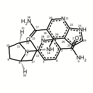 NC(=O)c1ccc(N2[C@@H]3CC[C@H]2C[C@H](Nc2c(C(N)=O)cnc4[nH]ccc24)C3)nn1